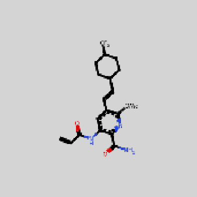 C=CC(=O)Nc1cc(/C=C/C2CCC(C(F)(F)F)CC2)c(OC)nc1C(N)=O